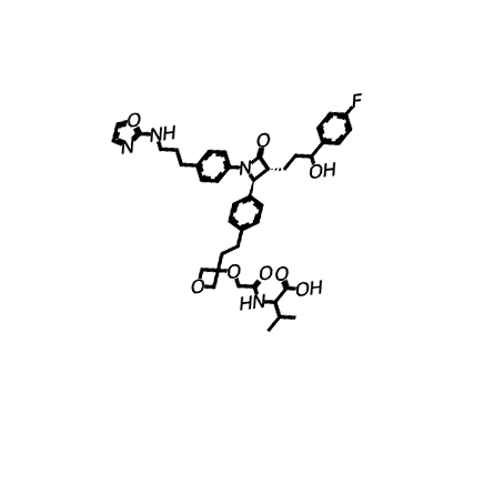 CC(C)C(NC(=O)COC1(CCc2ccc([C@@H]3[C@@H](CCC(O)c4ccc(F)cc4)C(=O)N3c3ccc(CCCNc4ncco4)cc3)cc2)COC1)C(=O)O